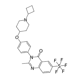 Cc1nc2ccc(S(F)(F)(F)(F)F)cc2c(=O)n1-c1ccc(OC2CCN(C3CCC3)CC2)cc1